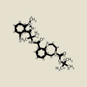 Cn1nc(C(C)(C)NC(=O)c2cccc3c2OCCN(C(=O)OC(C)(C)C)C3)c2c(F)cccc21